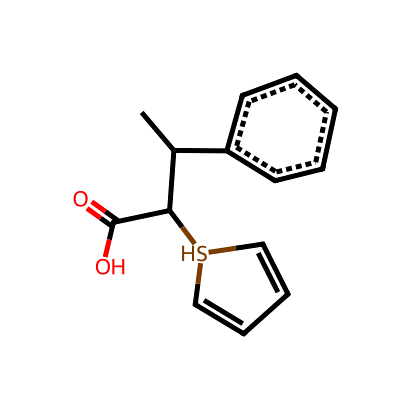 CC(c1ccccc1)C(C(=O)O)[SH]1C=CC=C1